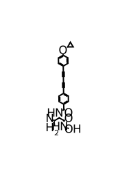 C[C@@H](N)[C@H](NC(=O)c1ccc(C#CC#Cc2ccc(OC3CC3)cc2)cc1)C(=O)NO